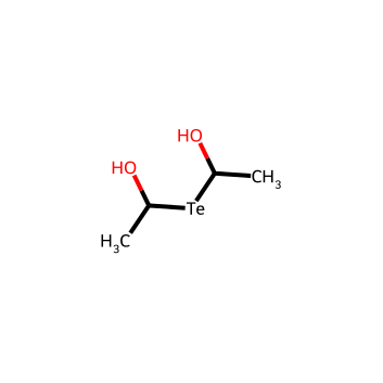 CC(O)[Te]C(C)O